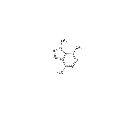 Cc1nnc(C)c2c1nnn2C